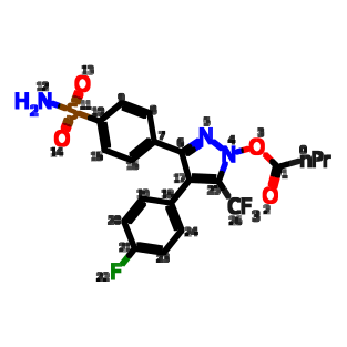 CCCC(=O)On1nc(-c2ccc(S(N)(=O)=O)cc2)c(-c2ccc(F)cc2)c1C(F)(F)F